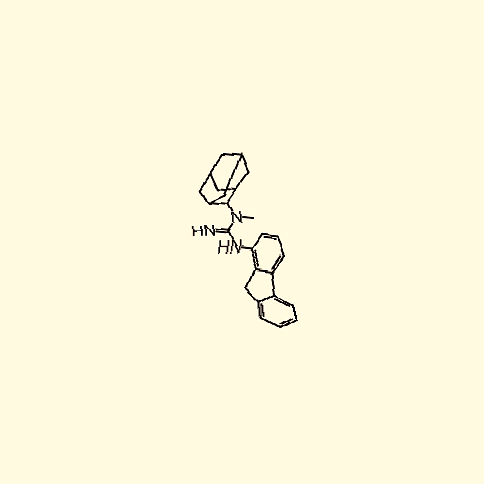 CN(C(=N)Nc1cccc2c1Cc1ccccc1-2)C1C2CC3CC(C2)CC1C3